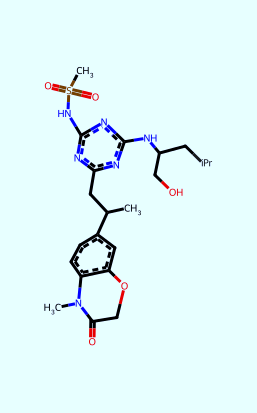 CC(C)CC(CO)Nc1nc(CC(C)c2ccc3c(c2)OCC(=O)N3C)nc(NS(C)(=O)=O)n1